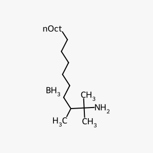 B.CCCCCCCCCCCCCCC(C)C(C)(C)N